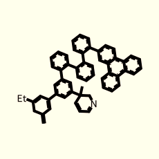 C=C1C=C(c2cc(-c3ccccc3-c3ccccc3-c3ccccc3-c3ccc4c5ccccc5c5ccccc5c4c3)cc(C3(C)C=CC=NC3)c2)C=C(CC)C1